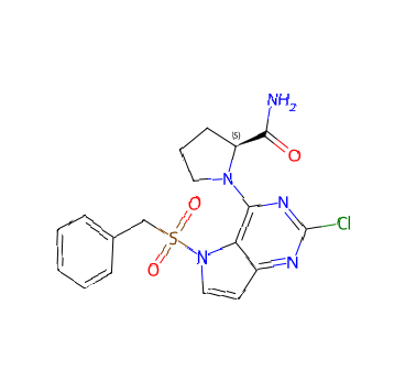 NC(=O)[C@@H]1CCCN1c1nc(Cl)nc2ccn(S(=O)(=O)Cc3ccccc3)c12